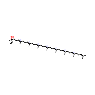 C=CC(C)(O)CC/C=C(\C)CC/C=C(\C)CC/C=C(\C)CC/C=C(\C)CC/C=C(\C)CC/C=C(\C)CC/C=C(\C)CCC=C(C)C